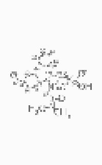 CN(C)C(=O)Cn1c(-c2ccc(C=O)cc2)c(-c2ccccc2)c2sc(C(=O)O)cc21